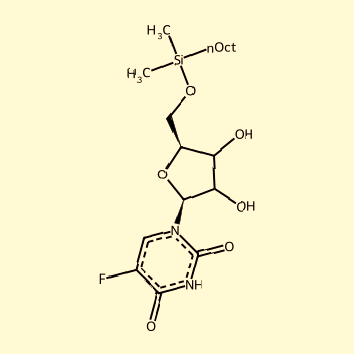 CCCCCCCC[Si](C)(C)OC[C@@H]1O[C@H](n2cc(F)c(=O)[nH]c2=O)C(O)C1O